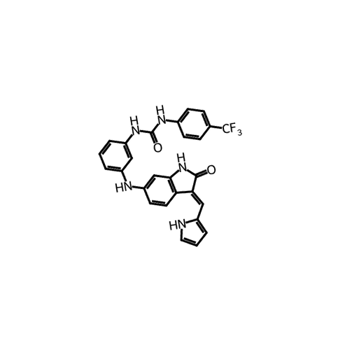 O=C(Nc1ccc(C(F)(F)F)cc1)Nc1cccc(Nc2ccc3c(c2)NC(=O)C3=Cc2ccc[nH]2)c1